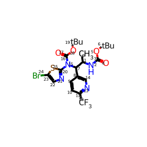 CC(NC(=O)OC(C)(C)C)C(c1ccc(C(F)(F)F)nc1)N(C(=O)OC(C)(C)C)c1ncc(Br)s1